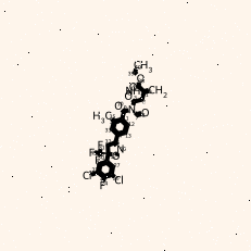 C=C(CC(ON)N(C=O)C(=O)c1ccc(C2=NO[C@@](c3cc(Cl)c(F)c(Cl)c3)(C(F)(F)F)C2)cc1C)C(=O)OCC